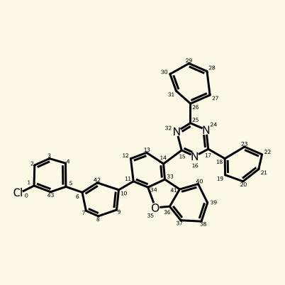 Clc1cccc(-c2cccc(-c3ccc(-c4nc(-c5ccccc5)nc(-c5ccccc5)n4)c4c3oc3ccccc34)c2)c1